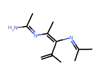 C=C(C)/C(N=C(C)C)=C(C)\N=C(/C)N